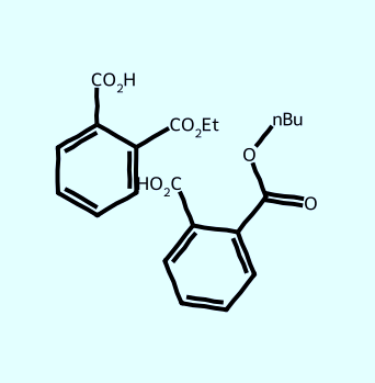 CCCCOC(=O)c1ccccc1C(=O)O.CCOC(=O)c1ccccc1C(=O)O